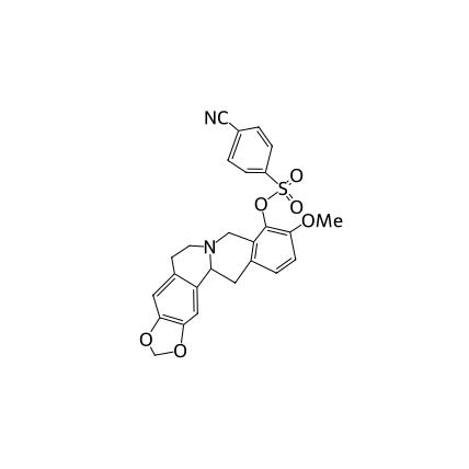 COc1ccc2c(c1OS(=O)(=O)c1ccc(C#N)cc1)CN1CCc3cc4c(cc3C1C2)OCO4